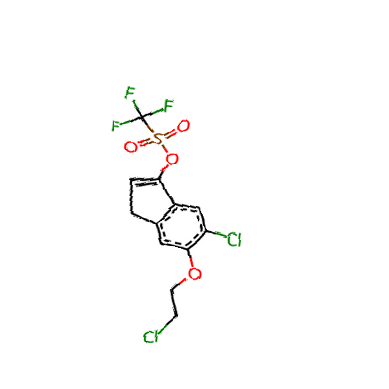 O=S(=O)(OC1=CCc2cc(OCCCl)c(Cl)cc21)C(F)(F)F